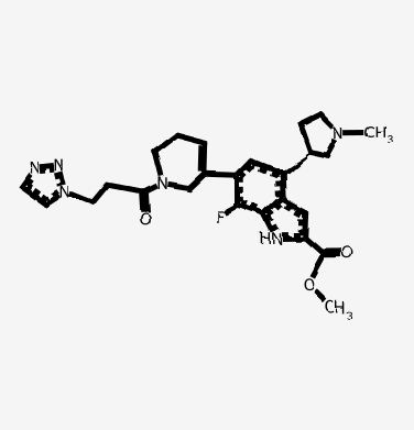 COC(=O)c1cc2c([C@H]3CCN(C)C3)cc(C3=CCCN(C(=O)CCn4ccnn4)C3)c(F)c2[nH]1